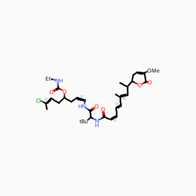 CCNC(=O)OC(C/C=C\NC(=O)C(NC(=O)\C=C/C=C/C(C)=C/C(C)C1CC=C(OC)C(=O)O1)C(C)(C)C)C/C=C(\C)Cl